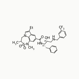 CCc1cn2c3c(cc(C(=O)N[C@@H](Cc4ccccc4)[C@H](O)CNCc4cccc(C(F)(F)F)c4)cc13)N(C)S(=O)(=O)C(C)C2